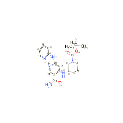 CC(C)(C)OC(=O)N1CCC[C@H](Nc2cc(Nc3ccccn3)ncc2C(N)=O)C1